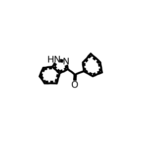 O=C(c1ccccc1)c1n[nH]c2ccccc12